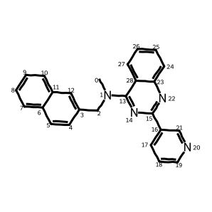 CN(Cc1ccc2ccccc2c1)c1nc(-c2cccnc2)nc2ccccc12